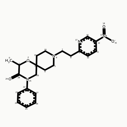 CC1OC2(CCN(CCc3ccc([N+](=O)[O-])cn3)CC2)CN(c2ccccc2)C1=O